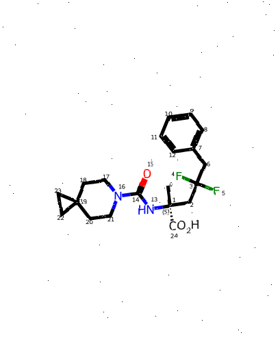 C[C@@](CC(F)(F)Cc1ccccc1)(NC(=O)N1CCC2(CC1)CC2)C(=O)O